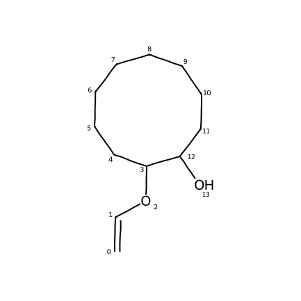 C=COC1CCCCCCCCC1O